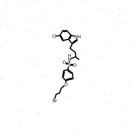 CC(CCc1c[nH]c2ccc(Cl)cc12)NS(=O)(=O)c1ccc(OCCCBr)cc1